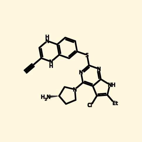 C#CC1=CNc2ccc(Sc3nc(N4CC[C@H](N)C4)c4c(Cl)c(CC)[nH]c4n3)cc2N1